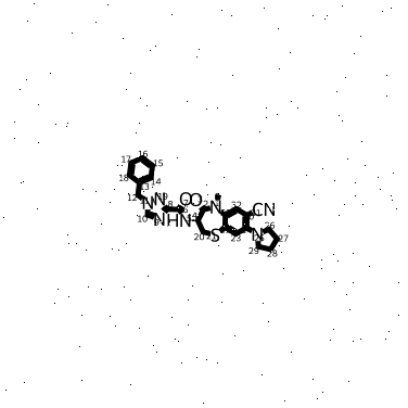 CN1C(=O)[C@@H](NC(=O)c2ncn(Cc3ccccc3)n2)CSc2cc(N3CCCC3)c(C#N)cc21